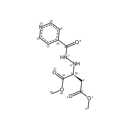 COC(=O)C[C@H](NNC(=O)c1ccncc1)C(=O)OC